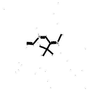 C=C/N=C\C(=N/C)C(C)(C)C